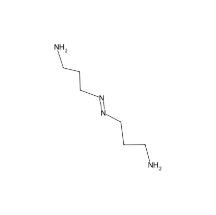 NCCCN=NCCCN